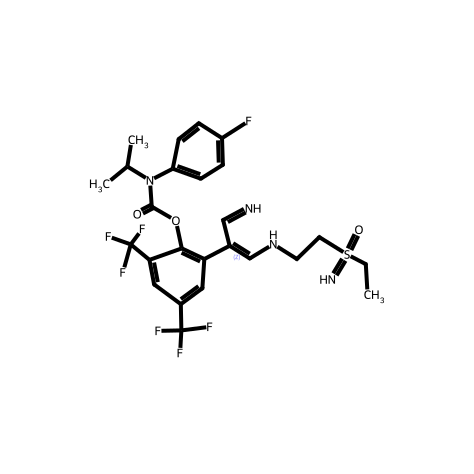 CCS(=N)(=O)CCN/C=C(\C=N)c1cc(C(F)(F)F)cc(C(F)(F)F)c1OC(=O)N(c1ccc(F)cc1)C(C)C